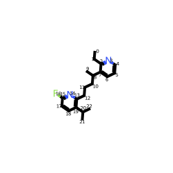 CCc1ncccc1C(C)CCCc1nc(F)ccc1C(C)C